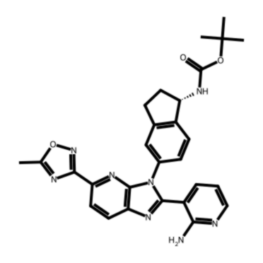 Cc1nc(-c2ccc3nc(-c4cccnc4N)n(-c4ccc5c(c4)CC[C@@H]5NC(=O)OC(C)(C)C)c3n2)no1